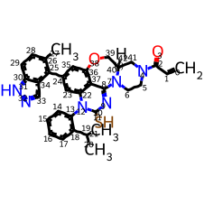 C=CC(=O)N1CCN2C3=NC(S)N(c4ccccc4C(C)C)c4cc(-c5c(C)ccc6[nH]ncc56)cc(c43)OC[C@@H]2C1